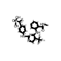 CNC(=O)c1ccccc1Nc1nc(Nc2ccc(C(F)P(=O)(O)O)cc2)ncc1C(F)(F)F